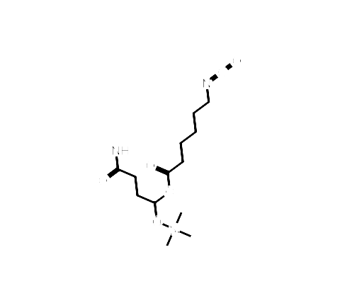 C[Si](C)(C)OC(CCC([NH])=O)OC(=O)CCCCCN=C=O